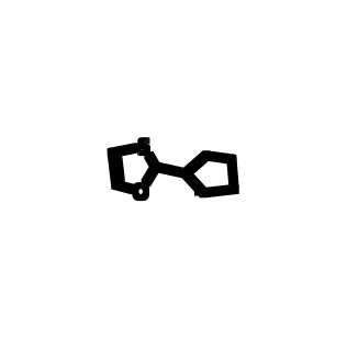 [CH]1CCCC1C1OC=CS1